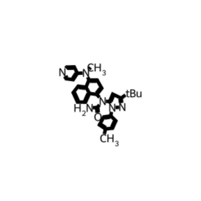 Cc1ccc(-n2nc(C(C)(C)C)cc2N(C(N)=O)c2ccc(N(C)c3ccncc3)c3ccccc23)cc1